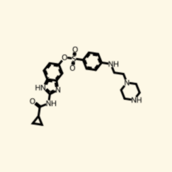 O=C(Nc1nc2cc(OS(=O)(=O)c3ccc(NCCN4CCNCC4)cc3)ccc2[nH]1)C1CC1